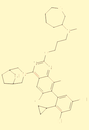 CN(CCCOc1nc(N2CC3CCC(C2)N3)c2cc(Cl)c(-c3cc(O)cc(Cl)c3C3CC3)c(F)c2n1)C1CCCCOC1